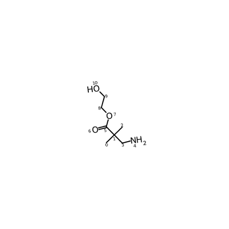 CC(C)(CN)C(=O)OCCO